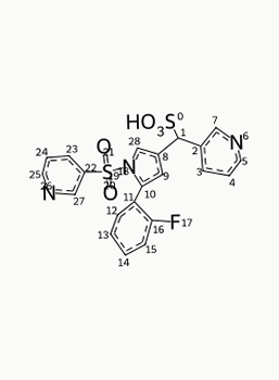 O=S(=O)(O)C(c1cccnc1)c1cc(-c2ccccc2F)n(S(=O)(=O)c2cccnc2)c1